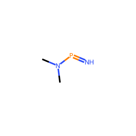 CN(C)P=N